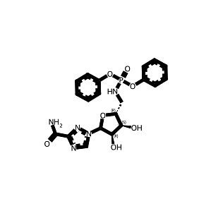 NC(=O)c1ncn(C2O[C@H](CNP(=O)(Oc3ccccc3)Oc3ccccc3)[C@@H](O)[C@H]2O)n1